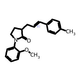 COc1ccccc1N1CCC(C/C=C/c2ccc(C)cc2)C1=O